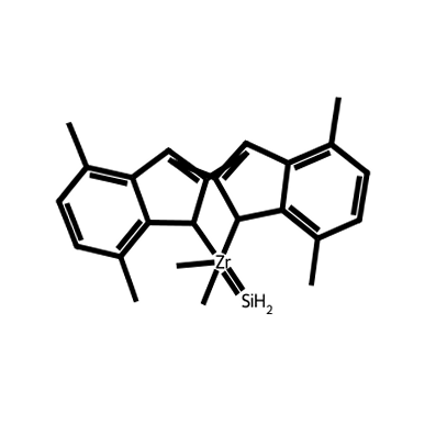 CC1=Cc2c(C)ccc(C)c2[CH]1[Zr]([CH3])([CH3])(=[SiH2])[CH]1C(C)=Cc2c(C)ccc(C)c21